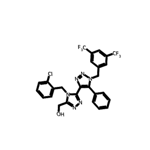 OCc1nnc(-c2nnn(Cc3cc(C(F)(F)F)cc(C(F)(F)F)c3)c2-c2ccccc2)n1Cc1ccccc1Cl